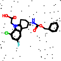 O=C(O)Cn1c2c(c3cc(F)cc(Cl)c31)C[C@@H](NC(=O)OCc1ccccc1)CC2